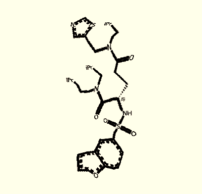 CC(C)CN(Cc1cncs1)C(=O)CC[C@H](NS(=O)(=O)c1ccc2occc2c1)C(=O)N(CC(C)C)CC(C)C